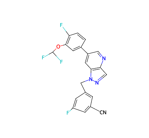 N#Cc1cc(F)cc(Cn2ncc3ncc(-c4ccc(F)c(OC(F)F)c4)cc32)c1